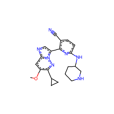 COc1cc2ncc(-c3nc(NC4CCCNC4)ccc3C#N)n2nc1C1CC1